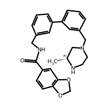 C[C@@H]1CN(Cc2cccc(-c3cccc(CNC(=O)c4ccc5c(c4)OCO5)c3)c2)CCN1